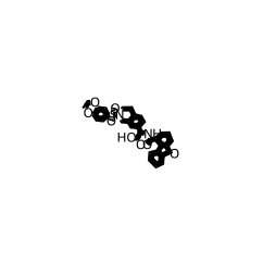 O=C(NC(C(=O)O)c1ccc2c(c1)CN(S(=O)(=O)c1ccc3c(c1)OCCO3)CC2)c1cccc2c1-c1ccccc1C2=O